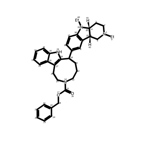 CCN1CC[C@@H]2[C@H](C1)c1cc(C3CCCN(C(=O)OCc4ccccc4)CCc4c3[nH]c3ccccc43)ccc1N2CC